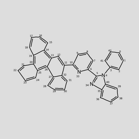 c1ccc(-n2c(-c3cccc(-c4cc5c6ccccc6c6ccccc6c5c5ccccc45)n3)nc3ccccc32)cc1